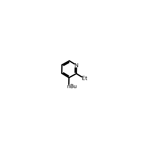 CCCCc1cccnc1CC